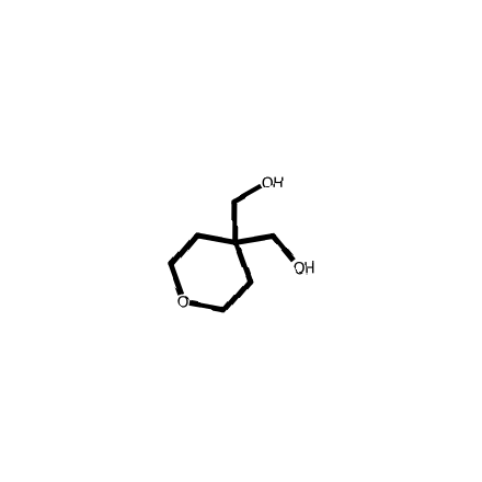 OCC1(CO)CCOCC1